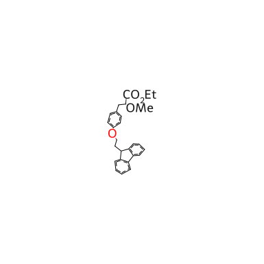 CCOC(=O)C(Cc1ccc(OCCC2c3ccccc3-c3ccccc32)cc1)OC